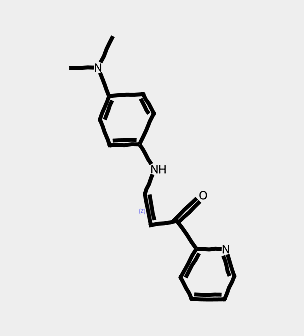 CN(C)c1ccc(N/C=C\C(=O)c2ccccn2)cc1